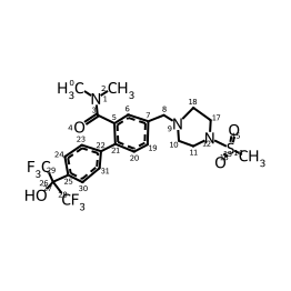 CN(C)C(=O)c1cc(CN2CCN(S(C)(=O)=O)CC2)ccc1-c1ccc(C(O)(C(F)(F)F)C(F)(F)F)cc1